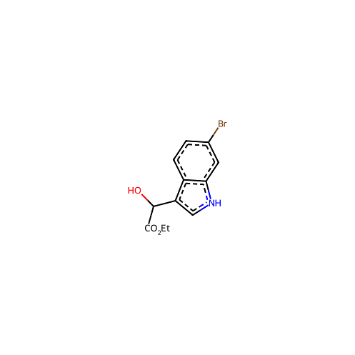 CCOC(=O)C(O)c1c[nH]c2cc(Br)ccc12